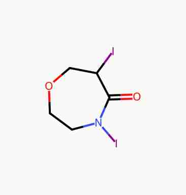 O=C1C(I)COCCN1I